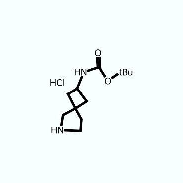 CC(C)(C)OC(=O)NC1CC2(CCNC2)C1.Cl